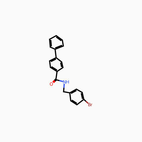 O=C(NCc1ccc(Br)cc1)c1ccc(-c2ccccc2)cc1